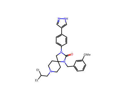 CCC(CC)CN1CCC2(CC1)CN(c1ccc(-c3cn[nH]c3)cc1)C(=O)N2Cc1cccc(OC)c1